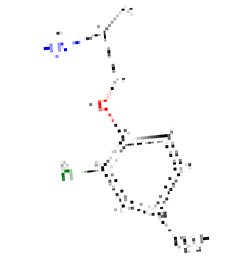 CC(N)COc1ccc(C(=O)O)cc1Cl